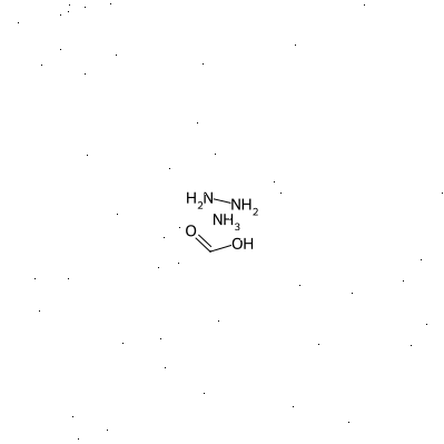 N.NN.O=CO